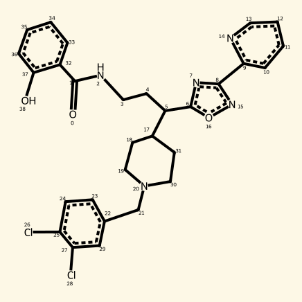 O=C(NCCC(c1nc(-c2ccccn2)no1)C1CCN(Cc2ccc(Cl)c(Cl)c2)CC1)c1ccccc1O